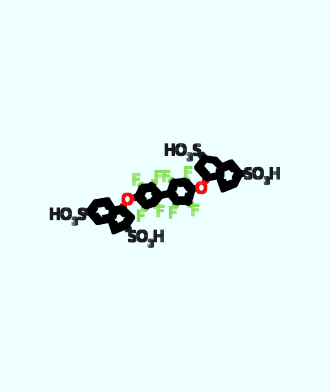 O=S(=O)(O)c1ccc2c(c1)CC(S(=O)(=O)O)C=C2Oc1c(F)c(F)c(-c2c(F)c(F)c(Oc3cc(S(=O)(=O)O)cc4cc(S(=O)(=O)O)ccc34)c(F)c2F)c(F)c1F